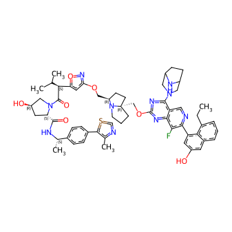 CCc1cccc2cc(O)cc(-c3ncc4c(N5CC6CCC(C5)N6)nc(OC[C@]56CCCN5[C@@H](COc5cc([C@@H](C(=O)N7C[C@H](O)C[C@H]7C(=O)N[C@@H](C)c7ccc(-c8scnc8C)cc7)C(C)C)on5)CC6)nc4c3F)c12